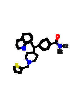 CCN(CC)C(=O)c1ccc(C(=C2CCN(Cc3cccs3)CC2)c2cccc3cccnc23)cc1